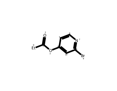 CCC(=O)Oc1ccnc(Br)c1